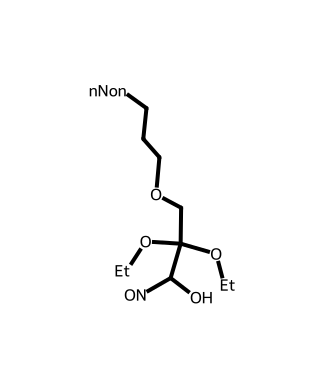 CCCCCCCCCCCCOCC(OCC)(OCC)C(O)N=O